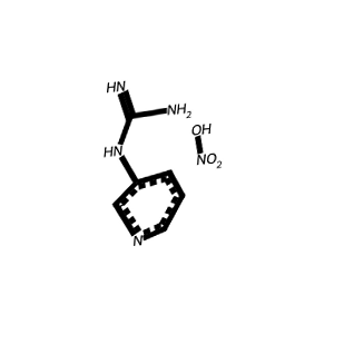 N=C(N)Nc1cccnc1.O=[N+]([O-])O